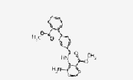 COC(=O)c1ccccc1-c1ccc(CNc2c(N)cccc2C(=O)OC)cc1